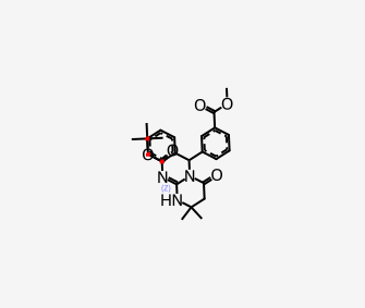 COC(=O)c1cccc(C(c2ccccc2)N2C(=O)CC(C)(C)N/C2=N/C(=O)OC(C)(C)C)c1